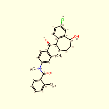 Cc1cc(N(C(=O)c2ccccc2C)C(C)C)ccc1C(=O)C1CCCC(O)c2cc(Cl)ccc21